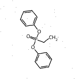 [CH2]CP(=O)(Oc1ccccc1)Oc1ccccc1